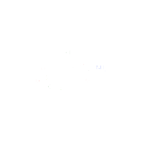 NC(=O)Oc1cc(F)c(S(=O)(=O)Cl)cc1Cl